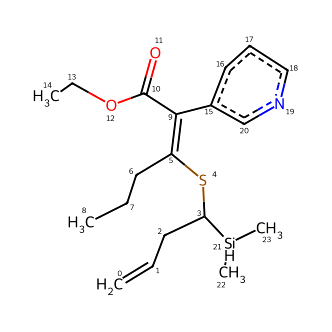 C=CCC(SC(CCC)=C(C(=O)OCC)c1cccnc1)[SiH](C)C